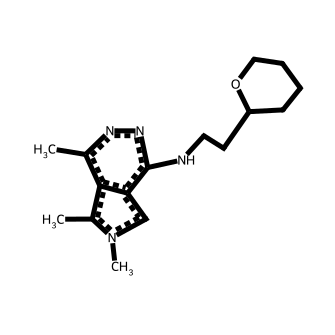 Cc1nnc(NCCC2CCCCO2)c2cn(C)c(C)c12